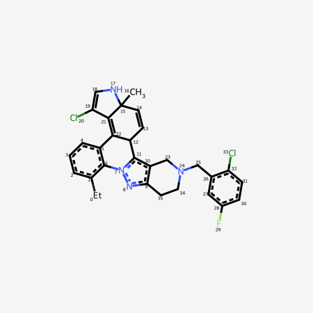 CCc1cccc2c1-n1nc3c(c1C1C=CC4(C)NC=C(Cl)C4=C21)CN(Cc1cc(F)ccc1Cl)CC3